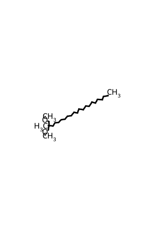 CCCCCCCCCCCCCCCCCCCCC(C)(COC)COC